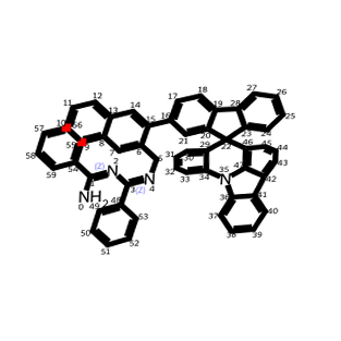 N/C(=N\C(=N/Cc1cc2ccccc2cc1-c1ccc2c(c1)C1(c3ccccc3-2)c2ccccc2-n2c3ccccc3c3cccc1c32)c1ccccc1)c1ccccc1